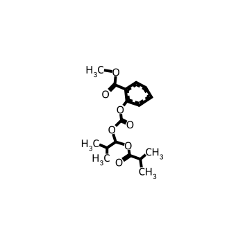 COC(=O)c1ccccc1OC(=O)OC(OC(=O)C(C)C)C(C)C